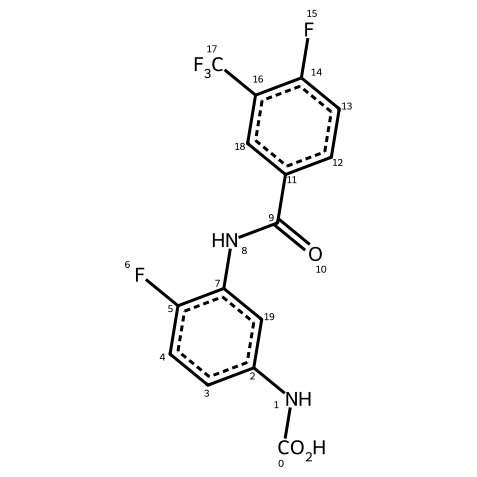 O=C(O)Nc1ccc(F)c(NC(=O)c2ccc(F)c(C(F)(F)F)c2)c1